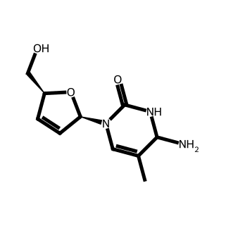 CC1=CN([C@H]2C=C[C@@H](CO)O2)C(=O)NC1N